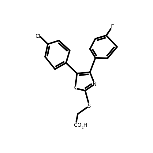 O=C(O)CSc1nc(-c2ccc(F)cc2)c(-c2ccc(Cl)cc2)s1